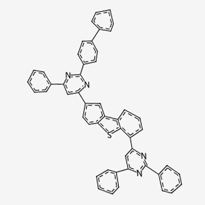 c1ccc(-c2ccc(-c3nc(-c4ccccc4)cc(-c4ccc5sc6c(-c7cc(-c8ccccc8)nc(-c8ccccc8)n7)cccc6c5c4)n3)cc2)cc1